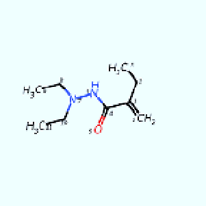 C=C(CC)C(=O)NN(CC)CC